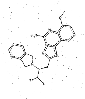 COc1cccc2c1nc(N)n1nc(C[C@@H](C(F)F)N3Cc4cccnc4C3)nc21